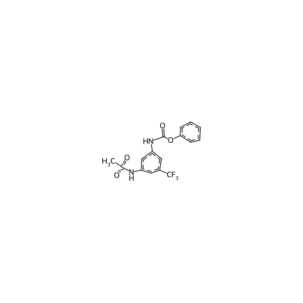 CS(=O)(=O)Nc1cc(NC(=O)Oc2ccccc2)cc(C(F)(F)F)c1